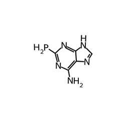 Nc1nc(P)nc2[nH]cnc12